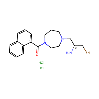 Cl.Cl.N[C@@H](CS)CN1CCCN(C(=O)c2cccc3ccccc23)CC1